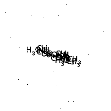 C[C@@H](CNC(C)(C)CCC(C)(C)CCN1CCC(OCCNC(C)(C)C)CC1)Oc1cc(C(C)(C)C)ccn1